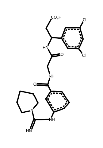 N=C(Nc1cccc(C(=O)NCC(=O)NC(CC(=O)O)c2cc(Cl)cc(Cl)c2)c1)N1CCCCC1